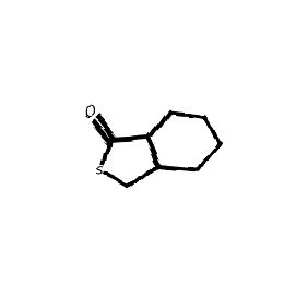 O=C1SCC2CCCCC12